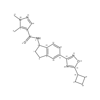 Cc1c(C(=O)NC2CCc3cc(-c4noc(C5CCC5)n4)ccc32)cnn1C